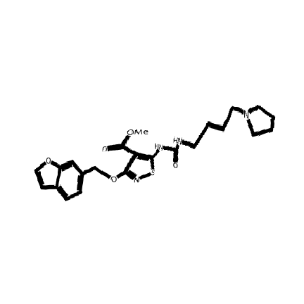 COC(=O)c1c(OCc2ccc3ccoc3c2)nsc1NC(=O)NCCCCN1CCCC1